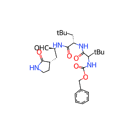 CC(C)(C)C[C@H](NC(=O)C(NC(=O)OCc1ccccc1)C(C)(C)C)C(=O)N[C@H](C=O)C[C@@H]1CCNC1=O